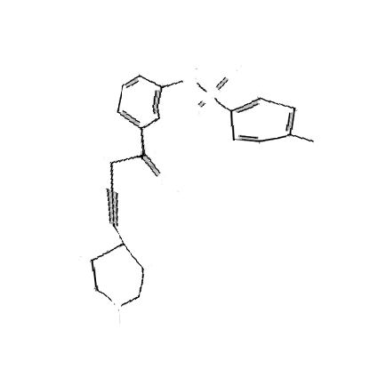 Cc1ccc(S(=O)(=O)Oc2cccc(C(=O)CC#CC3CCNCC3)c2)cc1